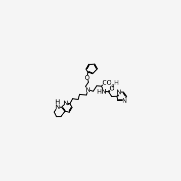 O=C(Cc1cnccn1)NC(CCN(CCCCc1ccc2c(n1)NCCC2)CCOc1ccccc1)C(=O)O